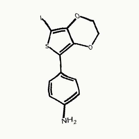 Nc1ccc(-c2sc(I)c3c2OCCO3)cc1